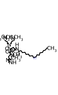 CCCCCCCC/C=C\CCCCCCCC(=O)N[C@H]1C[C@@H](C(=O)N(CCCN(C)C)CCCN(C)C)N(C(=O)C(Cc2c[nH]cn2)N(C)C)C1